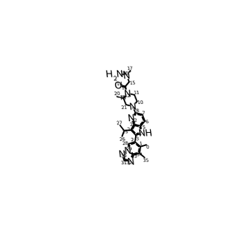 Cc1c(-c2[nH]c3ccc(N4CCN(C(=O)CN(C)N)[C@H](C)C4)nc3c2C(C)C)cn2ncnc2c1C